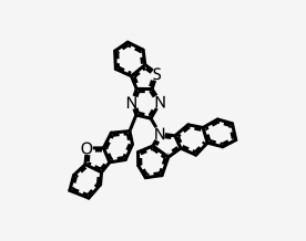 c1ccc2cc3c(cc2c1)c1ccccc1n3-c1nc2sc3ccccc3c2nc1-c1ccc2c(c1)oc1ccccc12